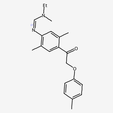 CCN(C)/C=N\c1cc(C)c(C(=O)COc2ccc(C)cc2)cc1C